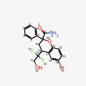 NC(=O)C1(c2ccccc2)C[C](C(F)(F)CO)c2cc(Br)ccc2O1